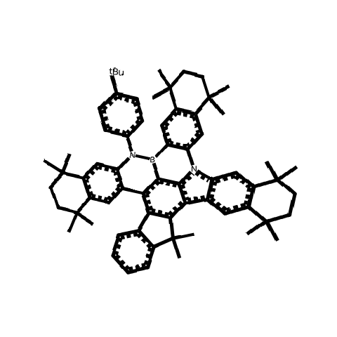 CC(C)(C)c1ccc(N2B3c4cc5c(cc4-n4c6cc7c(cc6c6c8c(c(c3c64)-c3cc4c(cc32)C(C)(C)CCC4(C)C)-c2ccccc2C8(C)C)C(C)(C)CCC7(C)C)C(C)(C)CCC5(C)C)cc1